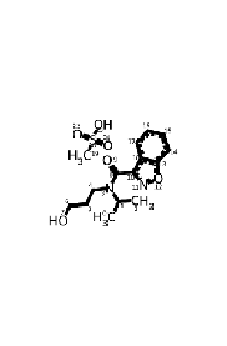 CC(C)N(CCCO)C(=O)c1noc2ccccc12.CS(=O)(=O)O